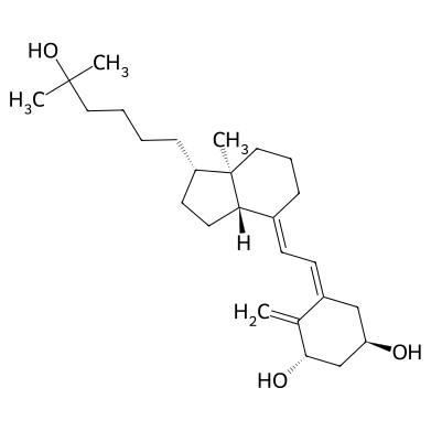 C=C1/C(=C\C=C2/CCC[C@]3(C)[C@@H](CCCCC(C)(C)O)CC[C@@H]23)C[C@@H](O)C[C@@H]1O